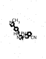 Cc1cc(-c2ccc(CNc3ncnc(N4CCc5c(C#N)cccc5C4)c3P)cc2)ccn1